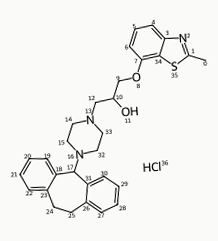 Cc1nc2cccc(OCC(O)CN3CCN(C4c5ccccc5CCc5ccccc54)CC3)c2s1.Cl